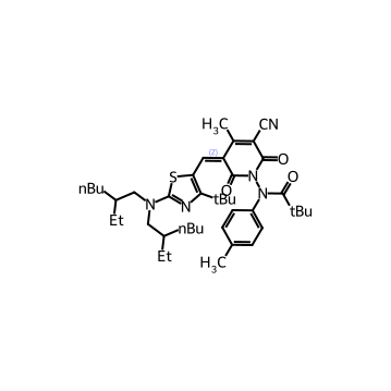 CCCCC(CC)CN(CC(CC)CCCC)c1nc(C(C)(C)C)c(/C=C2\C(=O)N(N(C(=O)C(C)(C)C)c3ccc(C)cc3)C(=O)C(C#N)=C2C)s1